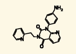 Nc1ccc(-n2c(=O)n(CCc3ccccn3)c(=O)c3cccnc32)cc1